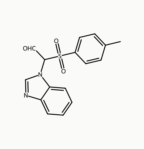 Cc1ccc(S(=O)(=O)C(C=O)n2cnc3ccccc32)cc1